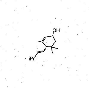 CC1=C[C@H](O)CC(C)(C)[C@H]1/C=C/C(C)C